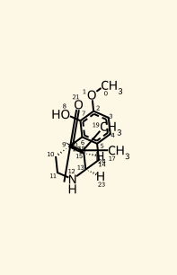 COc1ccc2c(c1O)[C@]13CCN[C@H](C2)[C@@H]1C(C)C(C)C(=O)C3